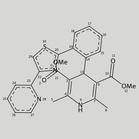 COC(=O)C1=C(C)NC(C)=C(C(=O)OC)C1c1ccccc1-c1nc(-c2ccccn2)cs1